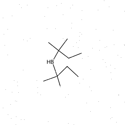 CCC(C)(C)BC(C)(C)CC